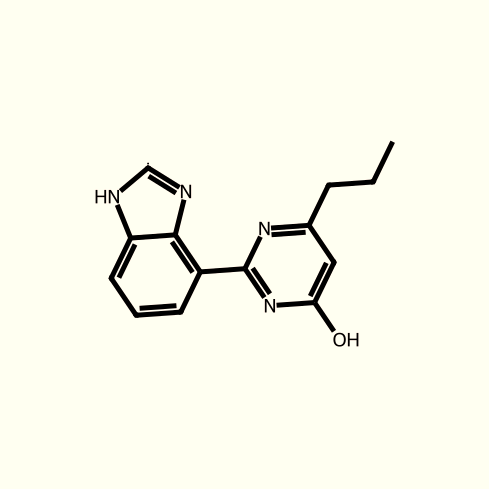 CCCc1cc(O)nc(-c2cccc3[nH][c]nc23)n1